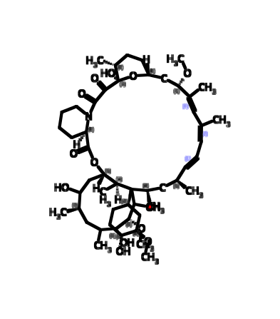 CO[C@H]1C[C@H]2CC[C@@H](C)[C@@](O)(O2)C(=O)C(=O)N2CCCC[C@@H]2C(=O)O[C@H]2CC(O)[C@H](C)CC(C)[C@@H](O)[C@@H](OC)C(O)C([C@@H]3CC[C@@H](O)[C@H](OC)C3)([C@H](C)C[C@H](C)/C=C/C=C(C)\C=C\1C)[C@H]2C